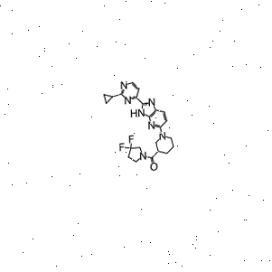 O=C(C1CCCN(c2ccc3nc(-c4ccnc(C5CC5)n4)[nH]c3n2)C1)N1CCC(F)(F)C1